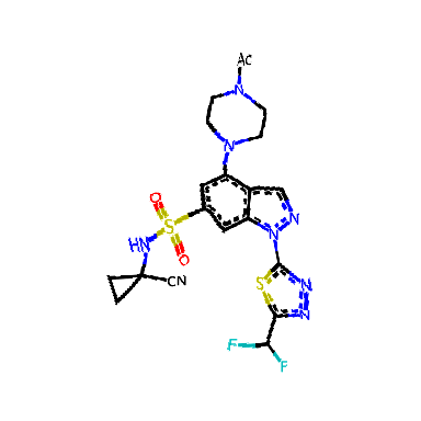 CC(=O)N1CCN(c2cc(S(=O)(=O)NC3(C#N)CC3)cc3c2cnn3-c2nnc(C(F)F)s2)CC1